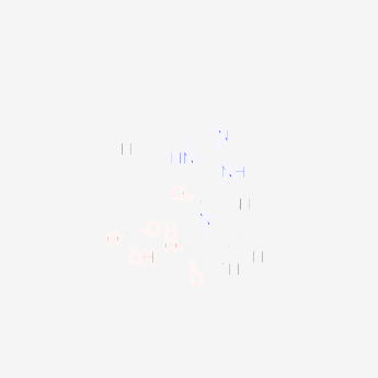 CC1(C)S[C@@H]2C(Nc3nc4ccccc4[nH]3)C(=O)N2C1C(=O)O.Cc1ccc(S(=O)(=O)O)cc1